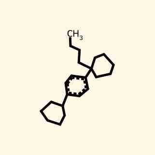 CCCCC1(c2ccc(C3CCCCC3)cc2)CCCCC1